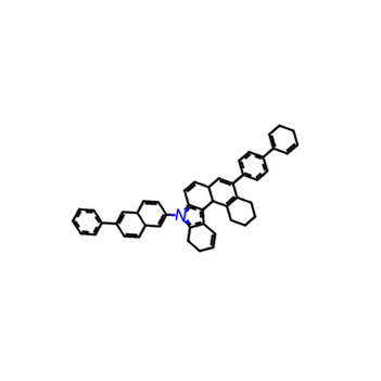 C1=CC(c2ccc(C3=CC4C=Cc5c(c6c(n5C5=CC7C=CC(c8ccccc8)=CC7C=C5)CCC=C6)C4C4=C3CCCC4)cc2)=CCC1